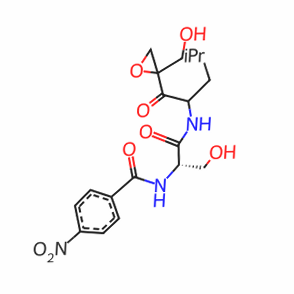 CC(C)CC(NC(=O)[C@H](CO)NC(=O)c1ccc([N+](=O)[O-])cc1)C(=O)C1(CO)CO1